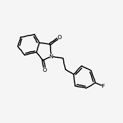 O=C1c2ccccc2C(=O)N1CCc1ccc(F)cc1